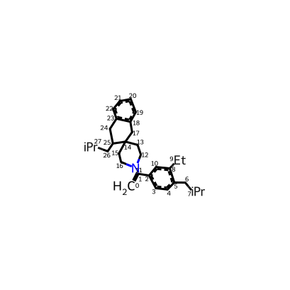 C=C(c1ccc(CC(C)C)c(CC)c1)N1CCC2(CC1)Cc1ccccc1CC2CC(C)C